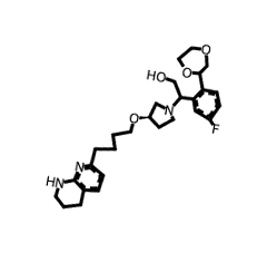 OCC(c1cc(F)ccc1C1COCCO1)N1CC[C@@H](OCCCCc2ccc3c(n2)NCCC3)C1